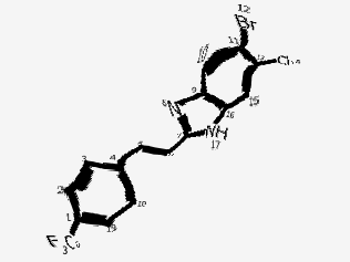 FC(F)(F)c1ccc(C=Cc2nc3cc(Br)c(Cl)cc3[nH]2)cc1